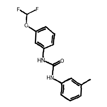 Cc1cccc(NC(=O)Nc2cccc(OC(F)F)c2)c1